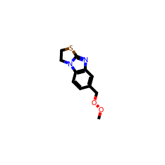 COOCc1ccc2c(c1)nc1n2CCS1